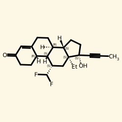 CC#C[C@]1(O)CC[C@H]2[C@@H]3CCC4=CC(=O)CC[C@@H]4[C@H]3[C@@H](C(F)F)C[C@@]21CC